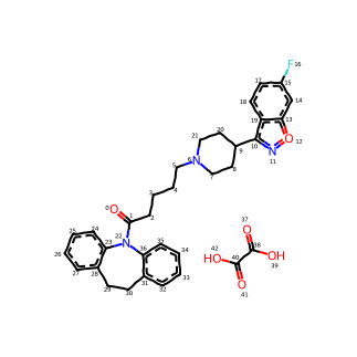 O=C(CCCCN1CCC(c2noc3cc(F)ccc23)CC1)N1c2ccccc2CCc2ccccc21.O=C(O)C(=O)O